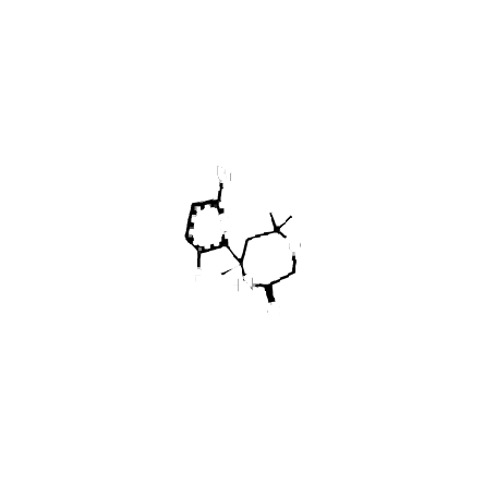 CC1(C)C[C@@](C)(c2cc(Br)ccc2F)NC(=O)CO1